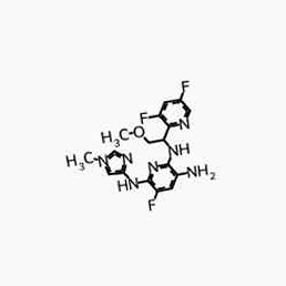 COCC(Nc1nc(Nc2cn(C)cn2)c(F)cc1N)c1ncc(F)cc1F